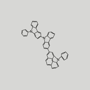 c1ccc(-n2c3ccccc3c3cc(-n4c5ccccc5c5cc(-c6cc7ccc8cccc9c8c7c(c6)n9-c6ccccc6)ccc54)ccc32)cc1